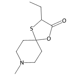 CCC1SC2(CCN(C)CC2)OC1=O